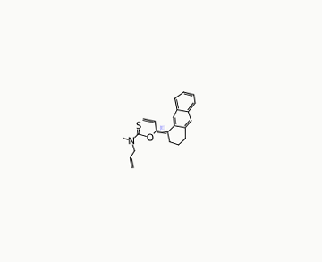 C=CCN(C)C(=S)O/C(C=C)=C1\CCCc2cc3ccccc3cc21